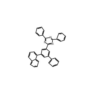 c1ccc(-c2cc(-c3nc(-c4ccccc4)nc(-c4ccccc4)n3)cc(-c3cccc4ccccc34)c2)cc1